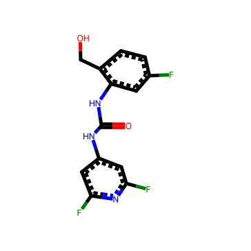 O=C(Nc1cc(F)nc(F)c1)Nc1cc(F)ccc1CO